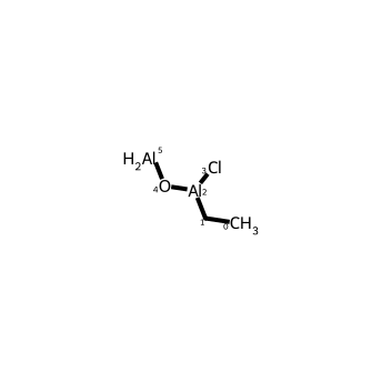 C[CH2][Al]([Cl])[O][AlH2]